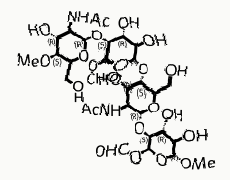 CO[C@@H]1OC(OC=O)[C@@H](O[C@H]2OC(CO)[C@@H](O[C@@H]3OC(OC=O)[C@@H](O[C@H]4OC(CO)[C@@H](OC)[C@H](O)C4NC(C)=O)[C@H](O)C3O)[C@H](O)C2NC(C)=O)[C@H](O)C1O